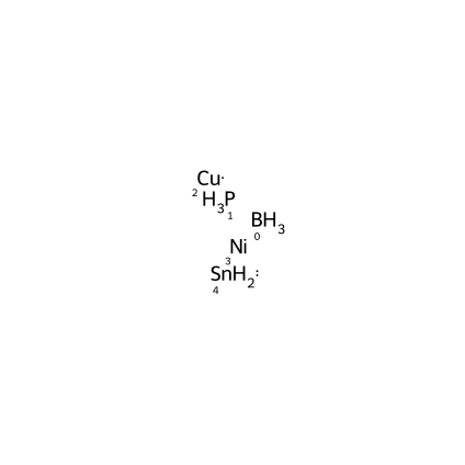 B.P.[Cu].[Ni].[SnH2]